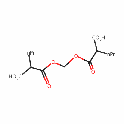 CCCC(C(=O)O)C(=O)OCOC(=O)C(CCC)C(=O)O